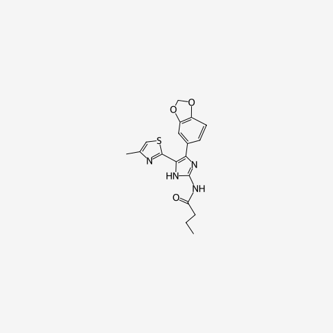 CCCC(=O)Nc1nc(-c2ccc3c(c2)OCO3)c(-c2nc(C)cs2)[nH]1